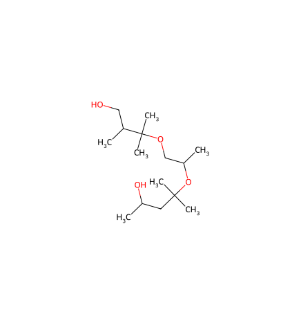 CC(O)CC(C)(C)OC(C)COC(C)(C)C(C)CO